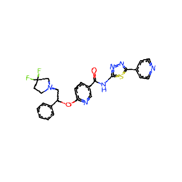 O=C(Nc1nnc(-c2ccncc2)s1)c1ccc(OC(CN2CCC(F)(F)C2)c2ccccc2)nc1